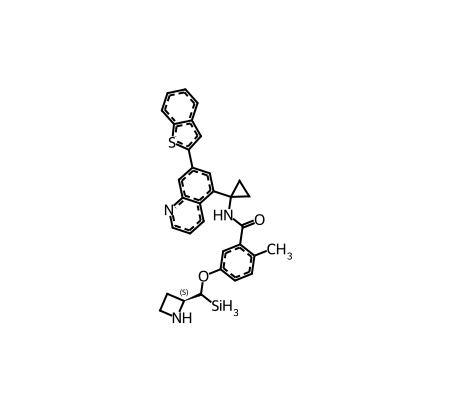 Cc1ccc(OC([SiH3])[C@@H]2CCN2)cc1C(=O)NC1(c2cc(-c3cc4ccccc4s3)cc3ncccc23)CC1